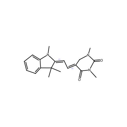 CN1C/C(=C\C=C2\N(C)c3ccccc3C2(C)C)C(=O)N(C)C1=O